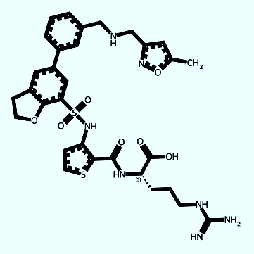 Cc1cc(CNCc2cccc(-c3cc4c(c(S(=O)(=O)Nc5ccsc5C(=O)N[C@@H](CCCNC(=N)N)C(=O)O)c3)OCC4)c2)no1